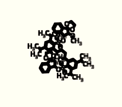 COC1[C@H](OS(=O)(=O)c2c(C(C)C)cc(C(C)C)cc2C(C)CCC(C)c2cc(C(C)C)cc(C(C)C)c2S(=O)(=O)OC2CC3(OCCO3)c3ccccc32)c2ccccc2C12OCCO2